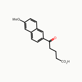 COc1ccc2cc(C(=O)CCCC(=O)O)ccc2c1